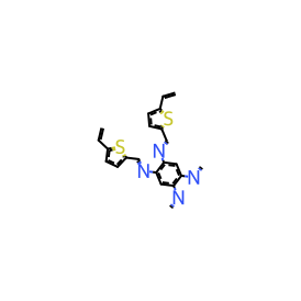 C=Cc1ccc(C=Nc2cc(N=C)c(N=C)cc2/N=C/c2ccc(C=C)s2)s1